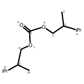 CC(C)C(C)COC(=O)OCC(C)C(C)C